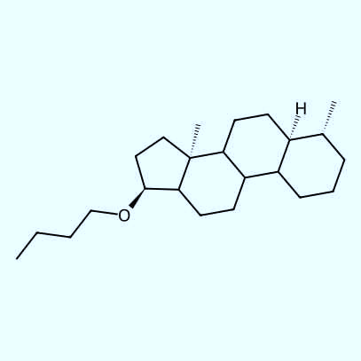 CCCCO[C@H]1CC[C@@]2(C)C3CC[C@@H]4C(CCC[C@H]4C)C3CCC12